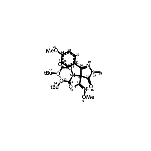 CON=C(C)C1(N(OC(=O)OC(C)(C)C)C(=O)OC(C)(C)C)C(=O)N(C)N=C1c1ccc(OC)cc1